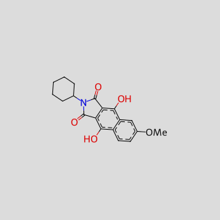 COc1ccc2c(O)c3c(c(O)c2c1)C(=O)N(C1CCCCC1)C3=O